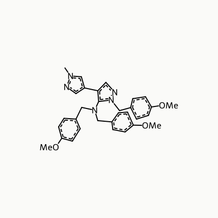 COc1ccc(CN(Cc2ccc(OC)cc2)c2c(-c3cnn(C)c3)cnn2Cc2ccc(OC)cc2)cc1